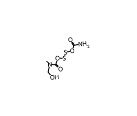 CN(CO)C(=O)OSSOC(N)=O